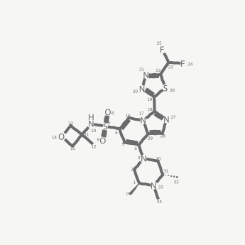 C[C@H]1CN(c2cc(S(=O)(=O)NC3(C)COC3)cn3c(-c4nnc(C(F)F)s4)ncc23)C[C@H](C)N1C